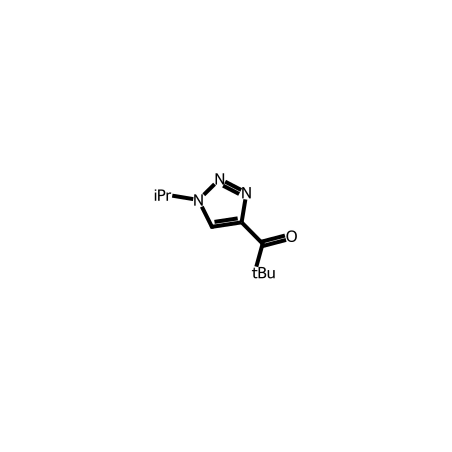 CC(C)n1cc(C(=O)C(C)(C)C)nn1